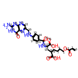 C=CC(=O)OCCCCC(C[C@H](NC(=O)c1ccc(NCc2cnc3nc(N)[nH]c(=O)c3n2)cc1)C(=O)O)C(=O)O